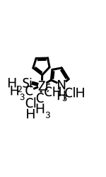 Cl.Cl.[CH3][Zr]([CH3])([CH3])(=[SiH2])([C]1=CC=CC1)[c]1ccc[nH]1